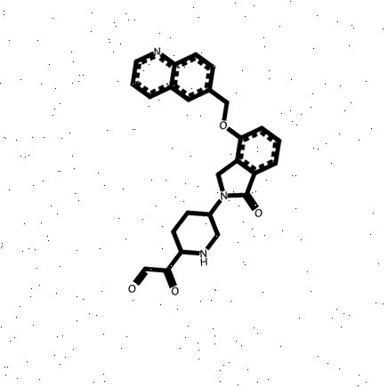 O=CC(=O)C1CCC(N2Cc3c(OCc4ccc5ncccc5c4)cccc3C2=O)CN1